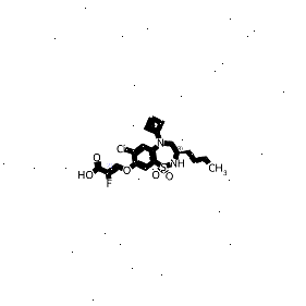 CCCC[C@@H]1CN(C23CC(C2)C3)c2cc(Cl)c(O/C=C(\F)C(=O)O)cc2S(=O)(=O)N1